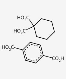 O=C(O)C1(C(=O)O)CCCCC1.O=C(O)c1ccc(C(=O)O)cc1